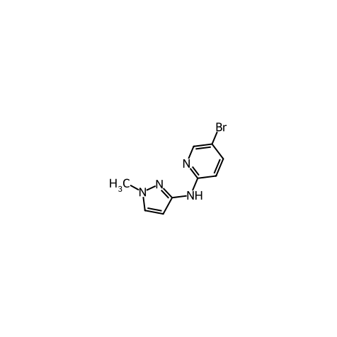 Cn1ccc(Nc2ccc(Br)cn2)n1